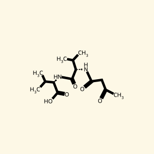 CC(=O)CC(=O)N[C@H](C(=O)N[C@H](C(=O)O)C(C)C)C(C)C